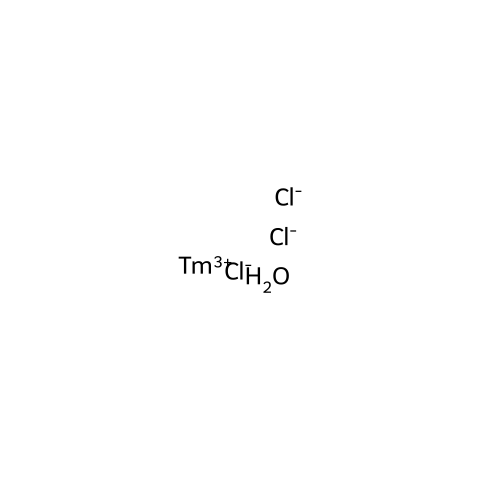 O.[Cl-].[Cl-].[Cl-].[Tm+3]